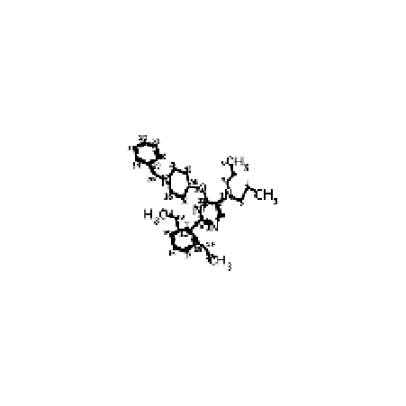 CCCN(CCC)c1cnc(-c2c(CC)cccc2CC)nc1OC1CCN(Cc2ccccc2)CC1